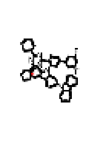 Fc1cc(F)cc(-c2ccc(-c3nc(-c4ccccc4)nc(-c4ccccc4)n3)c(-n3c4ccccc4c4ccc(-n5c6ccccc6c6ccccc65)cc43)c2)c1